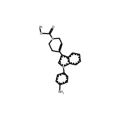 CC(C)OC(=O)N1CC=C(c2cn(-c3ccc(N)cc3)c3ccccc23)CC1